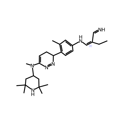 CC/C(C=N)=C/Nc1ccc(C2CC=C(N(C)C3CC(C)(C)NC(C)(C)C3)N=N2)c(C)c1